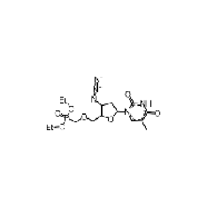 CCOP(=O)(COCC1OC(n2cc(C)c(=O)[nH]c2=O)CC1N=[N+]=[N-])OCC